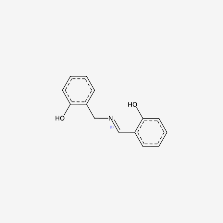 Oc1ccccc1/C=N/Cc1ccccc1O